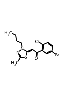 CCCCN1N=C(C)SC1=CC(=O)c1cc(Br)ccc1Cl